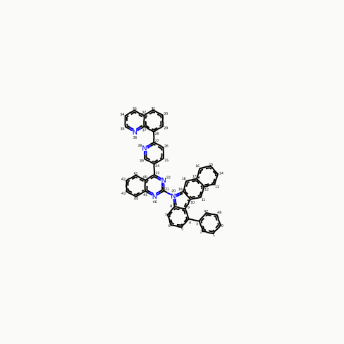 c1ccc(-c2cccc3c2c2cc4ccccc4cc2n3-c2nc(-c3ccc(-c4cccc5cccnc45)nc3)c3ccccc3n2)cc1